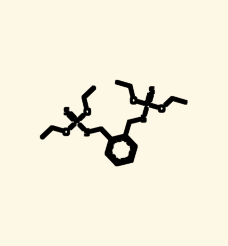 CCOP(=S)(OCC)SCc1ccccc1CSP(=S)(OCC)OCC